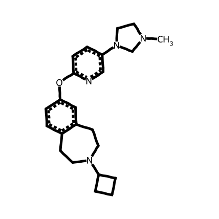 CN1CCN(c2ccc(Oc3ccc4c(c3)CCN(C3CCC3)CC4)nc2)C1